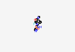 O=S(=O)(NC1CN(c2cc3c(cc2F)OC[C@@H](N2CCC2)[C@H]3Cc2ccccc2)C1)c1cccnn1